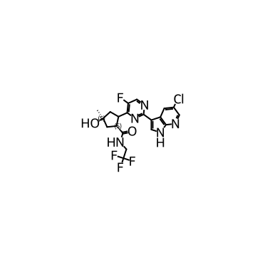 C[C@]1(O)CC(c2nc(-c3c[nH]c4ncc(Cl)cc34)ncc2F)[C@@H](C(=O)NCC(F)(F)F)C1